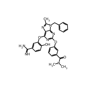 Cc1nc2c(Oc3cc(C(=N)N)ccc3O)nc(Oc3cccc(C(=O)N(C)C)c3)nc2n1Cc1ccccc1